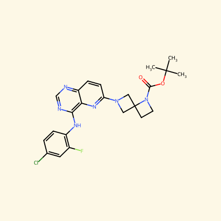 CC(C)(C)OC(=O)N1CCC12CN(c1ccc3ncnc(Nc4ccc(Cl)cc4F)c3n1)C2